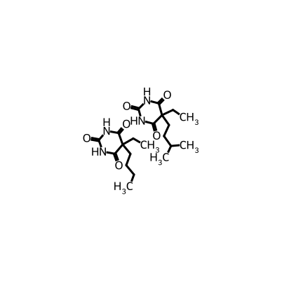 CCC1(CCC(C)C)C(=O)NC(=O)NC1=O.CCCCC1(CC)C(=O)NC(=O)NC1=O